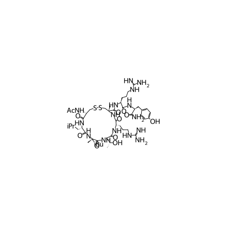 CC[C@H](C)[C@]1(C)NC(=O)[C@H](CC(C)C)NC(=O)[C@H](NC(C)=O)CSSC[C@](C)(C(=O)N[C@@H](CCCNC(=N)N)C(=O)N[C@@H](Cc2ccc(O)cc2)C(N)=O)NC(=O)[C@H](CCCNC(=N)N)NC(=O)[C@H]([C@@H](C)O)NC1=O